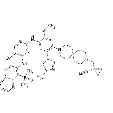 COc1cc(N2CCC3(CCN(CC4(C#N)CC4)CC3)CC2)c(C2C=NN(C)C2)cc1Nc1ncc(Br)c(Nc2ccc3nccnc3c2P(C)(C)=O)n1